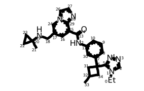 CCn1cnnc1C1(c2cccc(NC(=O)c3cc(CNC4(C)CC4)cn4ccnc34)c2)CC(C)C1